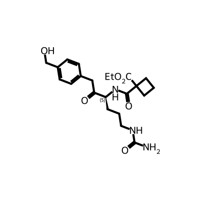 CCOC(=O)C1(C(=O)N[C@@H](CCCNC(N)=O)C(=O)Cc2ccc(CO)cc2)CCC1